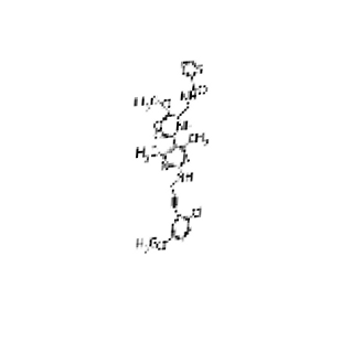 COC(=O)C(CNC(=O)c1cccs1)NC(=O)c1c(C)nc(NCC#Cc2cc(OC)ccc2Cl)nc1C